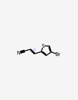 N#C/C=C/c1cc(Br)cs1